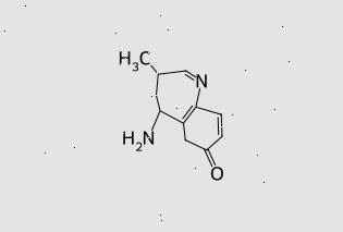 CC1C=NC2=C(CC(=O)C=C2)C(N)C1